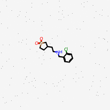 O=S1(=O)CCC(CCNCc2ccccc2Cl)C1